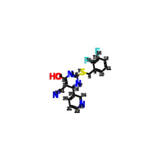 N#Cc1c(O)nc(SCc2cccc(F)c2F)nc1-c1cccnc1